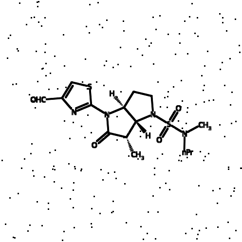 CCCN(C)S(=O)(=O)N1CC[C@H]2[C@H]1[C@H](C)C(=O)N2c1nc(C=O)cs1